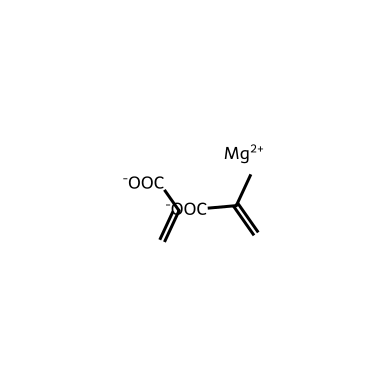 C=C(C)C(=O)[O-].C=CC(=O)[O-].[Mg+2]